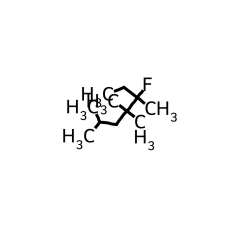 CCC(C)(F)C(C)(C)CC(C)C